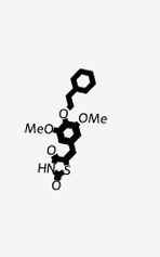 COc1cc(C=C2SC(=O)NC2=O)cc(OC)c1OCCC1CCCCC1